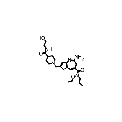 CCCN(OCC)C(=O)C1=Cc2sc(CN3CCC(C(=O)NCCO)CC3)cc2N=C(N)C1